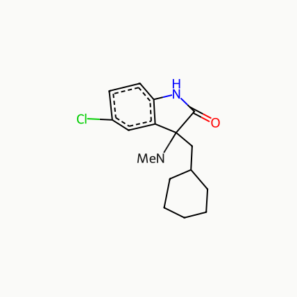 CNC1(CC2CCCCC2)C(=O)Nc2ccc(Cl)cc21